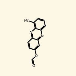 O=COc1ccc2nc3c(O)cccc3nc2c1